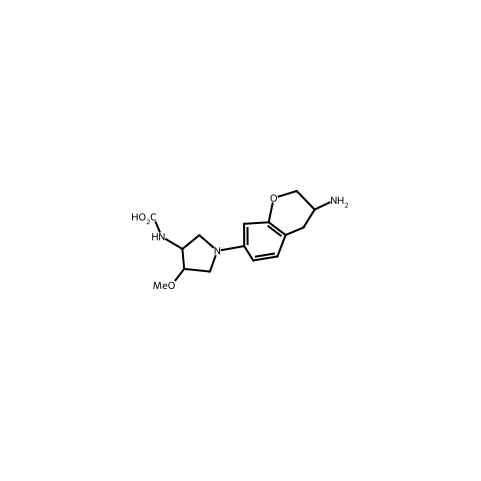 COC1CN(c2ccc3c(c2)OCC(N)C3)CC1NC(=O)O